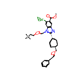 COC(=O)c1cc2nc([C@H]3CC[C@H](COCc4ccccc4)CC3)n(COCC[Si](C)(C)C)c2cc1Br